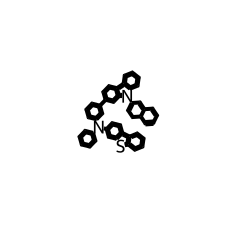 C1#CC2CC=C(n3c4ccccc4c4ccc(-c5cccc(N(c6ccccc6)c6ccc7c(c6)sc6ccccc67)c5)cc43)C=C2C=C1